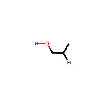 CCC(C)CO[N]